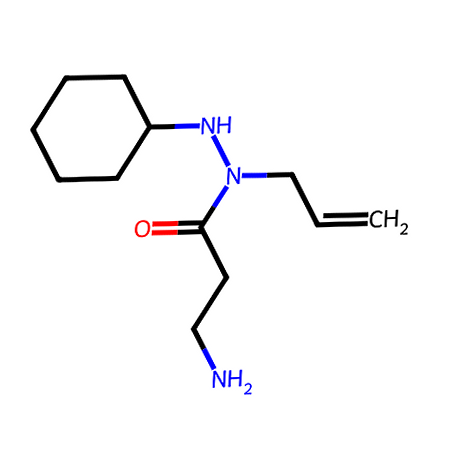 C=CCN(NC1CCCCC1)C(=O)CCN